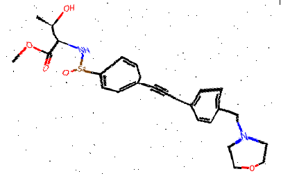 COC(=O)C(N[S+]([O-])c1ccc(C#Cc2ccc(CN3CCOCC3)cc2)cc1)[C@@H](C)O